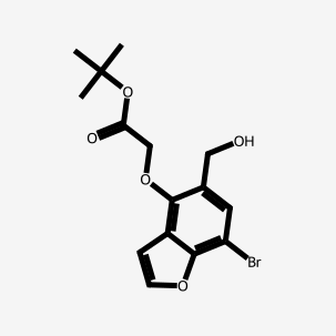 CC(C)(C)OC(=O)COc1c(CO)cc(Br)c2occc12